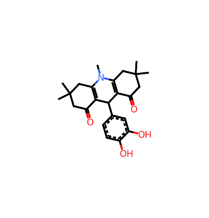 CN1C2=C(C(=O)CC(C)(C)C2)C(c2ccc(O)c(O)c2)C2=C1CC(C)(C)CC2=O